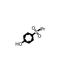 CC(C)S(=O)(=O)c1ccc(O)cc1